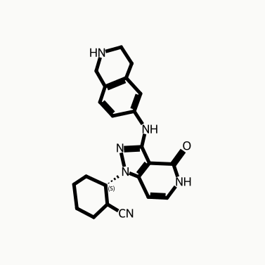 N#CC1CCCC[C@@H]1n1nc(Nc2ccc3c(c2)CCNC3)c2c(=O)[nH]ccc21